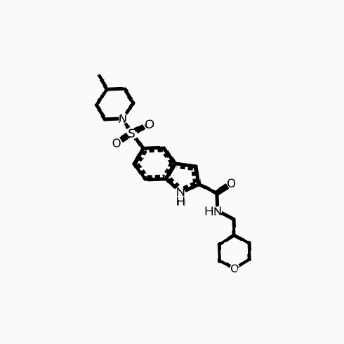 CC1CCN(S(=O)(=O)c2ccc3[nH]c(C(=O)NCC4CCOCC4)cc3c2)CC1